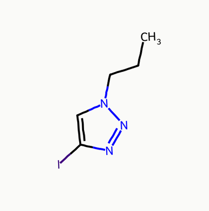 CCCn1cc(I)nn1